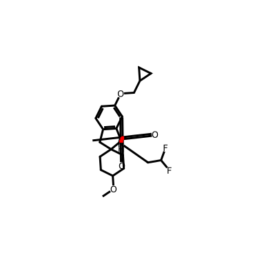 COC1CCC2(CC1)Cc1ccc(OCC3CC3)cc1C21NC(=O)N(CC(F)F)C1=O